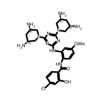 COc1ccc(NC(=O)c2ccc(Cl)cc2O)c(Nc2nc(N3C[C@H](N)C[C@H](N)C3)nc(N3C[C@H](N)C[C@H](N)C3)n2)c1